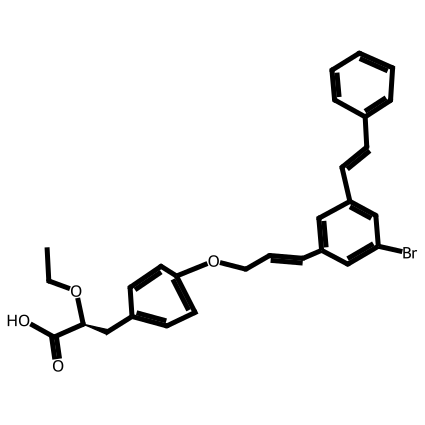 CCO[C@@H](Cc1ccc(OCC=Cc2cc(Br)cc(C=Cc3ccccc3)c2)cc1)C(=O)O